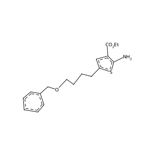 CCOC(=O)c1cc(CCCCOCc2ccccc2)sc1N